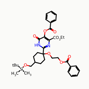 CCOC(=O)c1nc(C2(OCCOC(=O)c3ccccc3)CCC(CO[Si](C)(C)C(C)(C)C)CC2)[nH]c(=O)c1OC(=O)c1ccccc1